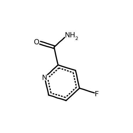 NC(=O)c1cc(F)ccn1